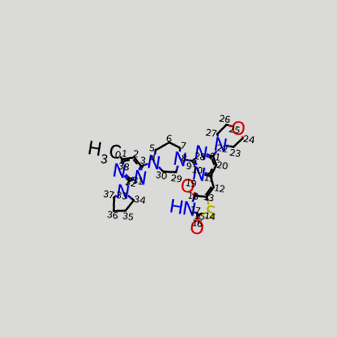 Cc1cc(N2CCCN(c3nc(C=C4SC(=O)NC4=O)cc(N4CCOCC4)n3)CC2)nc(N2CCCC2)n1